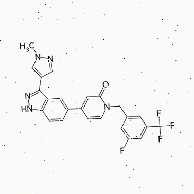 Cn1cc(-c2n[nH]c3ccc(-c4ccn(Cc5cc(F)cc(C(F)(F)F)c5)c(=O)c4)cc23)cn1